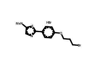 Br.CNc1cnc(-c2ccc(OCCCBr)cc2)s1